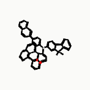 CC1(C)c2ccccc2-c2ccc(N(c3ccc(-c4ccc5ccccc5c4)cc3)c3ccccc3-c3cccc4cccc(-c5ccccc5)c34)cc21